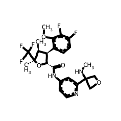 CNC1(c2cc(NC(=O)[C@@H]3O[C@@](C)(C(F)(F)F)[C@@H](C)[C@H]3c3ccc(F)c(F)c3OC)ccn2)COC1